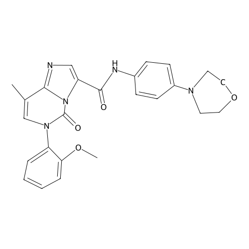 COc1ccccc1-n1cc(C)c2ncc(C(=O)Nc3ccc(N4CCOCC4)cc3)n2c1=O